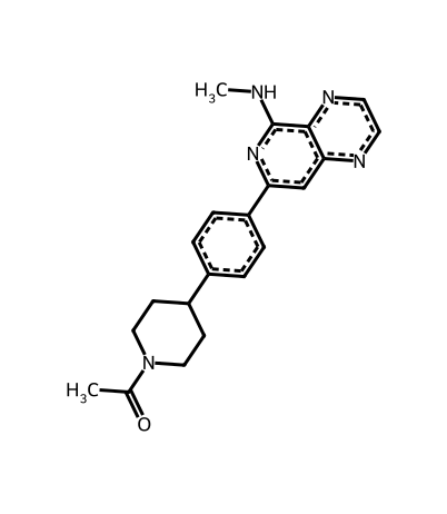 CNc1nc(-c2ccc(C3CCN(C(C)=O)CC3)cc2)cc2nccnc12